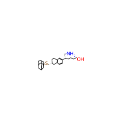 NC[C@H](CCCCO)c1ccc2c(c1)CC[C@@H](CSC13CC4CC(CC(C4)C1)C3)C2